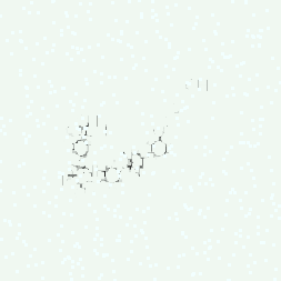 CCCCCCCOc1cccc(-c2cnc(-c3ccc(C[C@H](NC(=O)c4ccc(C(C)(C)C)cc4)C(=O)O)cc3)nc2)c1